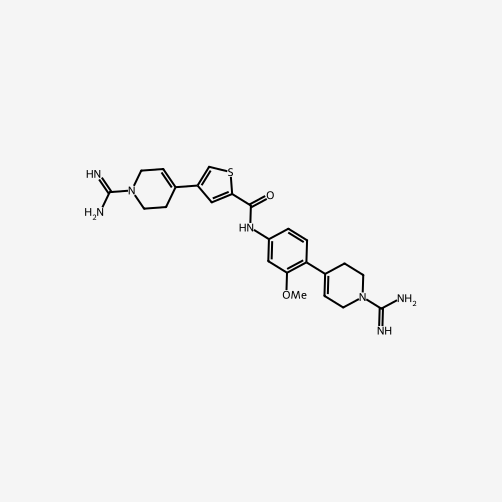 COc1cc(NC(=O)c2cc(C3=CCN(C(=N)N)CC3)cs2)ccc1C1=CCN(C(=N)N)CC1